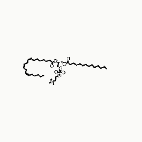 CCCCC/C=C\C/C=C\C/C=C\CCCCCCC(=O)O[C@H](COC(=O)CCCCCCCCCCCCC)COP(=O)([O-])OCC[N+](C)(C)C